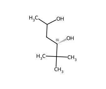 CC(O)C[C@H](O)C(C)(C)C